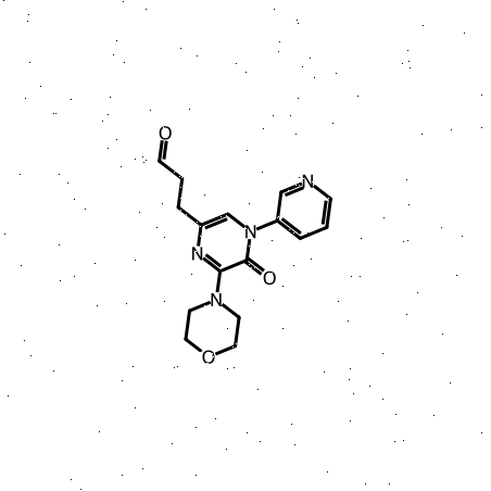 O=CCCc1cn(-c2cccnc2)c(=O)c(N2CCOCC2)n1